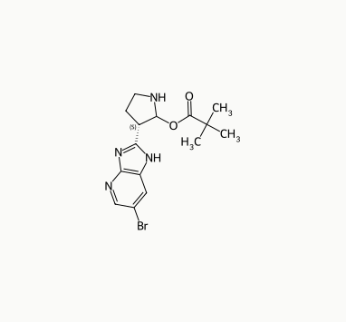 CC(C)(C)C(=O)OC1NCC[C@H]1c1nc2ncc(Br)cc2[nH]1